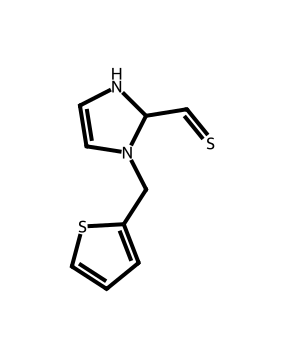 S=CC1NC=CN1Cc1cccs1